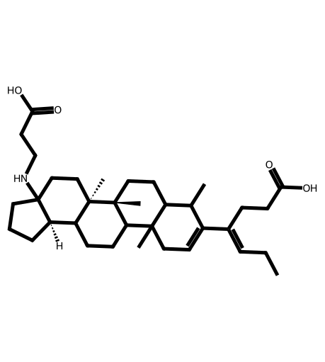 CC/C=C(\CCC(=O)O)C1=CCC2(C)C(CC[C@]3(C)C2CCC2[C@H]4CCCC4(NCCC(=O)O)CC[C@]23C)C1C